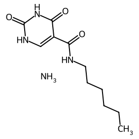 CCCCCCNC(=O)c1c[nH]c(=O)[nH]c1=O.N